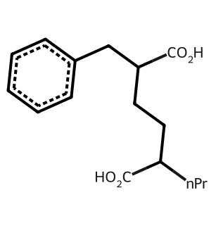 CCCC(CCC(Cc1ccccc1)C(=O)O)C(=O)O